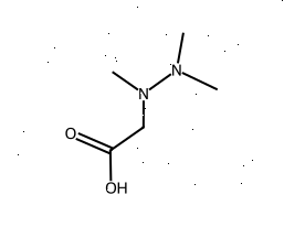 CN(C)N(C)CC(=O)O